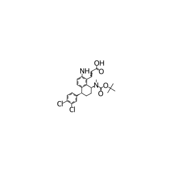 CN(C(=O)OC(C)(C)C)[C@H]1CC[C@@H](c2ccc(Cl)c(Cl)c2)c2ccc(N)c(C=CC(=O)O)c21